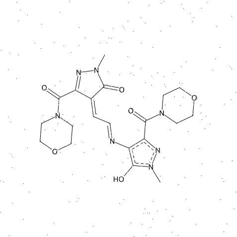 CN1N=C(C(=O)N2CCOCC2)/C(=C/C=Nc2c(C(=O)N3CCOCC3)nn(C)c2O)C1=O